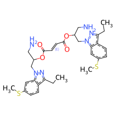 CCc1nn(CC(CN)OC(=O)/C=C/C(=O)OC(CN)Cn2nc(CC)c3ccc(SC)cc32)c2cc(SC)ccc12